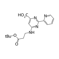 CC(C)(C)OC(=O)CCNc1cc(C(=O)O)nc(-c2ccccn2)n1